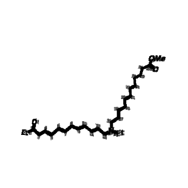 CCC(=O)CCCCCCCCCCCN(CC)CCCCCCCCCCCC(=O)OC